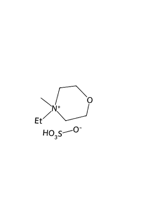 CC[N+]1(C)CCOCC1.O=S(=O)([O-])O